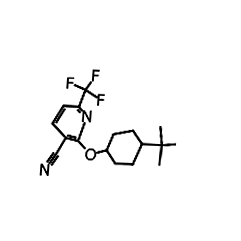 CC(C)(C)C1CCC(Oc2nc(C(F)(F)F)ccc2C#N)CC1